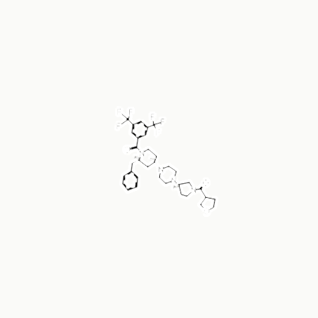 O=C(C1CCOC1)N1CC[C@@H](N2CCN([C@H]3CCN(C(=O)c4cc(C(F)(F)F)cc(C(F)(F)F)c4)[C@H](Cc4ccccc4)C3)CC2)C1